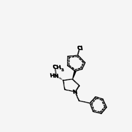 CN[C@H]1CN(Cc2ccccc2)C[C@@H]1c1ccc(Cl)cc1